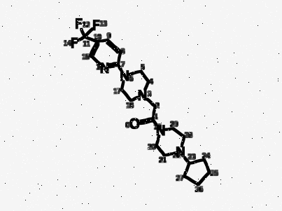 O=C(CN1CCN(c2ccc(C(F)(F)F)cn2)CC1)N1CCN(C2CCCC2)CC1